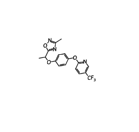 Cc1noc(C(C)Oc2ccc(Oc3ccc(C(F)(F)F)cn3)cc2)n1